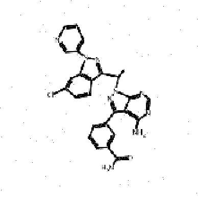 CC(c1nn(-c2cccnc2)c2cc(Cl)ccc12)n1nc(-c2cccc(C(N)=O)c2)c2c(N)ncnc21